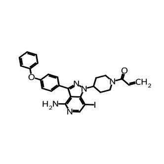 C=CC(=O)N1CCC(n2nc(-c3ccc(Oc4ccccc4)cc3)c3c(N)ncc(I)c32)CC1